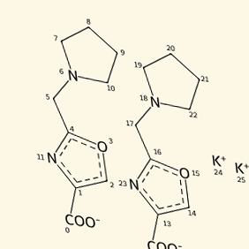 O=C([O-])c1coc(CN2CCCC2)n1.O=C([O-])c1coc(CN2CCCC2)n1.[K+].[K+]